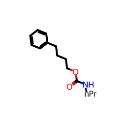 [CH2]CCNC(=O)OCCCCc1ccccc1